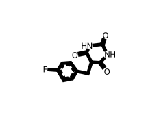 O=C1NC(=O)C(Cc2ccc(F)cc2)C(=O)N1